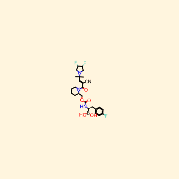 CC(C)(C=C(C#N)C(=O)N1CCCCC1COC(=O)N[C@@H](Cc1ccc(F)cc1)B(O)O)N1C[C@@H](F)[C@@H](F)C1